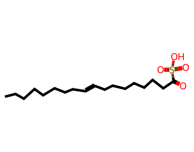 CCCCCCCCC=CCCCCCCCC(=O)S(=O)(=O)O